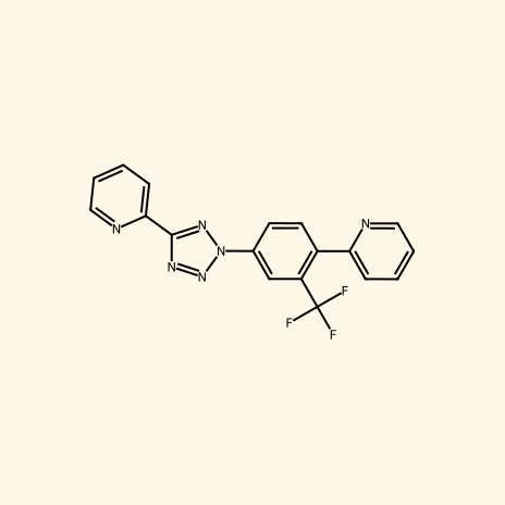 FC(F)(F)c1cc(-n2nnc(-c3ccccn3)n2)ccc1-c1ccccn1